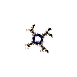 CCCSC1=C(S)S/C(=C2\Sc3c4[nH]c(c3S2)C(C)(C)c2[nH]c(c3c2SC(=C2SC(SCCC)=C(SCCC)S2)S3)C(C)(C)c2[nH]c(c3c2S/C(=C2/SC(S)=C(SCCC)S2)S3)C(C)(C)c2[nH]c(c3c2SC(=C2SC(S)=C(S)S2)S3)C4(C)C)S1